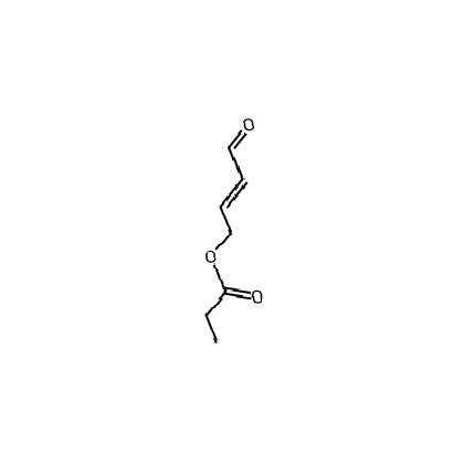 CCC(=O)OCC=CC=O